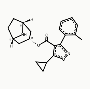 Cc1ccccc1-c1noc(C2CC2)c1C(=O)O[C@H]1C[C@H]2CC[C@@H](C1)N2